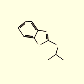 FC(F)OC1=Nc2ccccc2[N]1